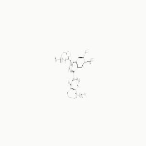 Fc1cc2c(-c3ncc4c(n3)CCCN4)nn(C3NCCO3)c2cc1F